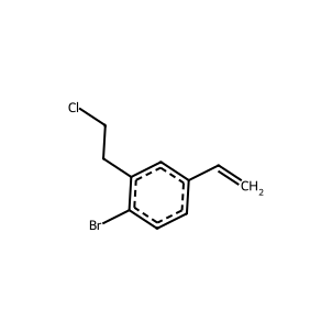 C=Cc1ccc(Br)c(CCCl)c1